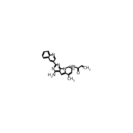 C=CC(=O)N[C@H]1C=C(C)c2cc3c(N)nc(-c4cnc5ccccc5c4)nc3n2C1